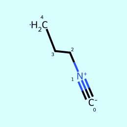 [C-]#[N+]CC[CH2]